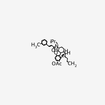 C=CCN1CC[C@@]23c4c5ccc(OC(C)=O)c4C[C@@H]1[C@@H]2CC[C@H](N(CC(C)C)C(=O)C=Cc1cccc(C)c1)[C@@H]3O5